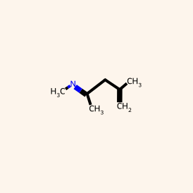 C=C(C)C/C(C)=N/C